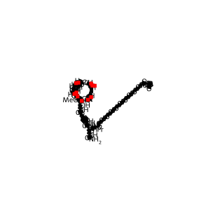 C=C1C[C@@H]2CC[C@@]34C[C@H]5O[C@H]6[C@@H](O3)[C@H]3O[C@H](CC[C@@H]3O[C@H]6[C@H]5O4)CC(=O)C[C@@H]3[C@@H](OC)[C@@H](C[C@H](O)CNC(=O)OCc4ccc(NC(=O)[C@H](CCCNC(N)=O)NC(=O)[C@@H](NC(=O)CCOCCOCCOCCOCCOCCOCCOCCOCCOCCC(=O)ON5CCCC5=O)C(C)C)cc4)O[C@H]3C[C@H]3O[C@@H](CC[C@@H]1O2)C[C@@H](C)C3=C